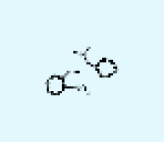 CN(C)[C@@H](CCc1cc[c]cc1[N+](=O)[O-])c1ccccc1